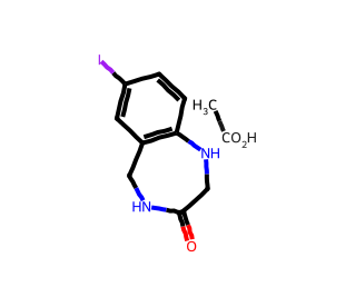 CC(=O)O.O=C1CNc2ccc(I)cc2CN1